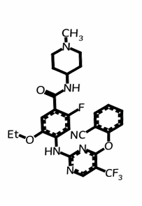 CCOc1cc(C(=O)NC2CCN(C)CC2)c(F)cc1Nc1ncc(C(F)(F)F)c(Oc2ccccc2C#N)n1